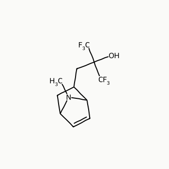 CN1C2C=CC1C(CC(O)(C(F)(F)F)C(F)(F)F)C2